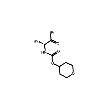 CC(C)C(=O)[C@@H](NC(=O)OC1CCOCC1)C(C)C